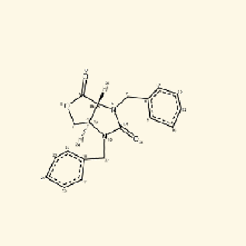 O=C1OC[C@H]2[C@H]1N(Cc1ccccc1)C(=O)N2Cc1ccccc1